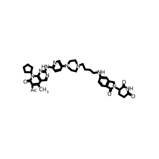 CC(=O)c1c(C)c2cnc(Nc3ccc(N4CCN(CCCCNc5ccc6c(c5)CN(C5CCC(=O)NC5=O)C6=O)CC4)cn3)nc2n(C2CCCC2)c1=O